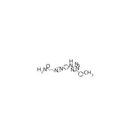 Cc1cccc(-c2cnc(Nc3ccc(N4CCN(CCCC(N)=O)CC4)cc3)c3nccn23)c1